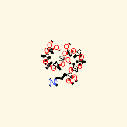 CO[Si](C)(OC)O[Si](C)(C)O[Si](C)(C)O[Si](C)(C)O[Si](C)(OC)O[Si](C)(OC)O[Si](C)(C)O[Si](C)(C)O[Si](C)(C)O[Si](CCC[N+](C)(C)C)(OC)OC